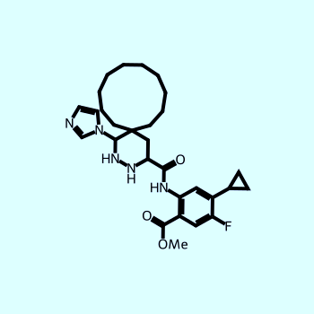 COC(=O)c1cc(F)c(C2CC2)cc1NC(=O)C1CC2(CCCCCCCCCC2)C(n2ccnc2)NN1